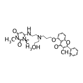 Cc1c(-c2ccccc2)oc2cccc(OCCCN(CCO)CCNc3cc(=O)n(C)c(=O)n3C)c2c1=O